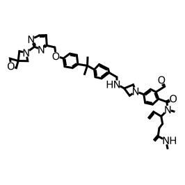 C=CC(CCC(=C)NC)N(C)C(=O)c1ccc(N2CC(NCc3ccc(C(C)(C)c4ccc(OCc5ccnc(N6CC7(COC7)C6)n5)cc4)cc3)C2)cc1C=O